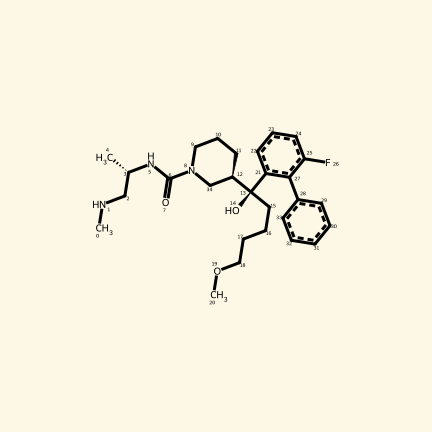 CNC[C@H](C)NC(=O)N1CCC[C@@H]([C@@](O)(CCCCOC)c2cccc(F)c2-c2ccccc2)C1